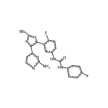 CC(C)(C)c1nc(-c2ccnc(N)n2)c(-c2cc(NC(=O)Nc3ccc(F)cc3)ccc2F)s1